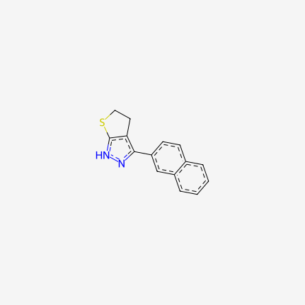 c1ccc2cc(-c3n[nH]c4c3CCS4)ccc2c1